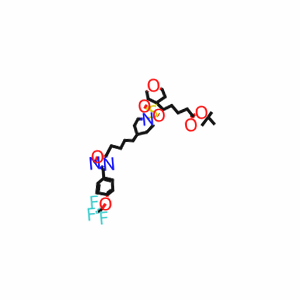 CC(C)(C)OC(=O)CCCCC1(S(=O)(=O)N2CCC(CCCCc3nc(-c4ccc(OC(F)(F)F)cc4)no3)CC2)CCOCC1